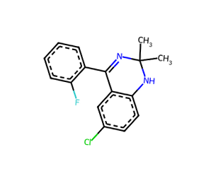 CC1(C)N=C(c2ccccc2F)c2cc(Cl)ccc2N1